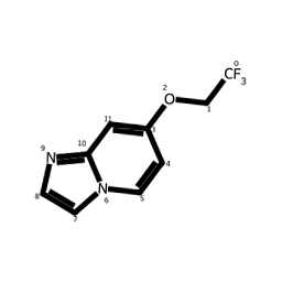 FC(F)(F)COc1ccn2ccnc2c1